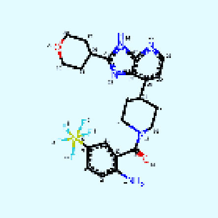 Nc1ccc(S(F)(F)(F)(F)F)cc1C(=O)N1CCC(c2ccnc3[nH]c(C4CCOCC4)nc23)CC1